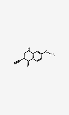 COc1ccc2c(=O)c(C#N)c[nH]c2c1